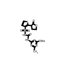 COc1nc(C)nc(NC(=O)NS(=O)(=O)c2ccsc2C2CCOC2=O)n1